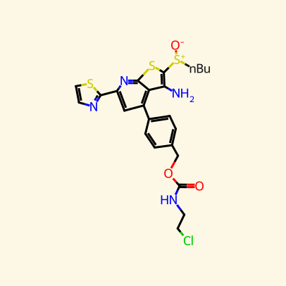 CCCC[S+]([O-])c1sc2nc(-c3nccs3)cc(-c3ccc(COC(=O)NCCCl)cc3)c2c1N